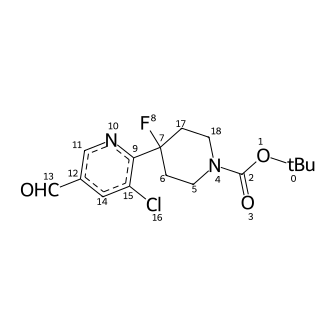 CC(C)(C)OC(=O)N1CCC(F)(c2ncc(C=O)cc2Cl)CC1